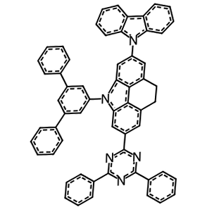 c1ccc(-c2cc(-c3ccccc3)cc(-n3c4cc(-c5nc(-c6ccccc6)nc(-c6ccccc6)n5)cc5c4c4c(cc(-n6c7ccccc7c7ccccc76)cc43)CC5)c2)cc1